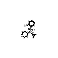 O=S(=O)(c1ccccc1Br)N(C1CCOCC1)C1CC1